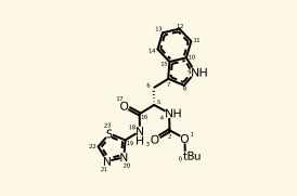 CC(C)(C)OC(=O)N[C@@H](Cc1c[nH]c2ccccc12)C(=O)Nc1nncs1